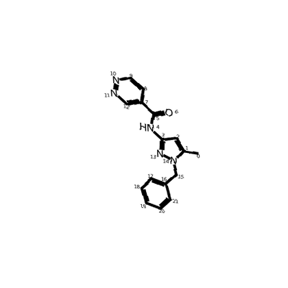 Cc1cc(NC(=O)c2ccnnc2)nn1Cc1ccccc1